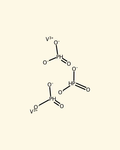 O=[PH]([O-])[O-].O=[PH]([O-])[O-].O=[PH]([O-])[O-].[V+3].[V+3]